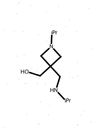 CC(C)NCC1(CO)CN(C(C)C)C1